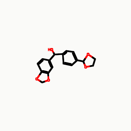 OC(c1ccc(C2OCCO2)cc1)c1ccc2c(c1)OCO2